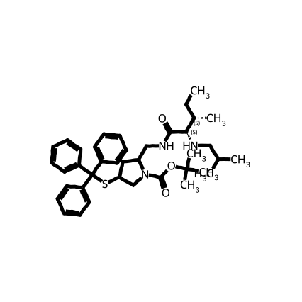 CC[C@H](C)[C@H](NCC(C)C)C(=O)NCC1CC(SC(c2ccccc2)(c2ccccc2)c2ccccc2)CN1C(=O)OC(C)(C)C